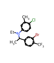 CCN(c1ccc(Cl)c(C)c1)C(C)c1ccc(C(F)(F)F)c(Br)c1